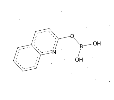 OB(O)Oc1ccc2ccccc2n1